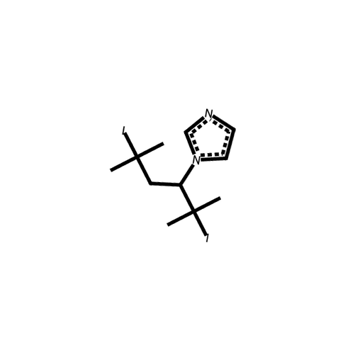 CC(C)(I)CC(n1ccnc1)C(C)(C)I